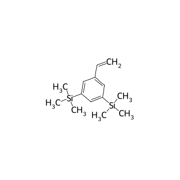 C=Cc1cc([Si](C)(C)C)cc([Si](C)(C)C)c1